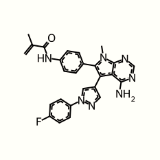 C=C(C)C(=O)Nc1ccc(-c2c(-c3cnn(-c4ccc(F)cc4)c3)c3c(N)ncnc3n2C)cc1